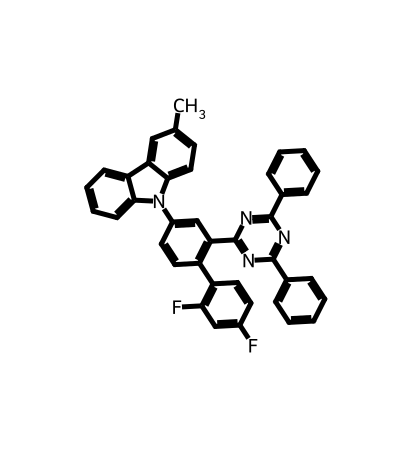 Cc1ccc2c(c1)c1ccccc1n2-c1ccc(-c2ccc(F)cc2F)c(-c2nc(-c3ccccc3)nc(-c3ccccc3)n2)c1